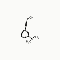 C[C@@H](N)c1cccc(C#CCO)c1